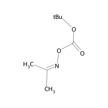 CC(C)=NOC(=O)OC(C)(C)C